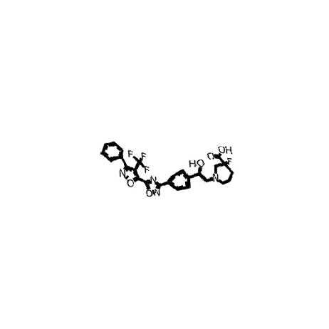 O=C(O)C1(F)CCCN(CC(O)c2ccc(-c3noc(-c4onc(-c5ccccc5)c4C(F)(F)F)n3)cc2)C1